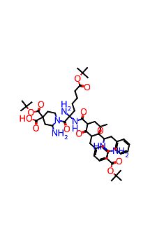 CC(C)CC(C(=O)NC(N)(CCCCC(=O)OC(C)(C)C)C(=O)N1CCC(C(=O)O)(C(=O)OC(C)(C)C)CC1N)C(=O)C(Cc1ccccc1)C(=O)C(Cc1ccccc1)NC(N)CC(=O)OC(C)(C)C